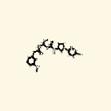 COc1cccc(CC(=O)NC(=N)SC(=N)NC2CCN(c3ccc(F)nn3)C2)c1